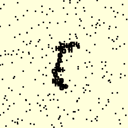 CNCCCC[C@@H](C)NC(=O)CCOCCOCCOCCNC(=O)COc1ccc2c(C(=O)NCC(=O)N3CCCC3)ccnc2c1